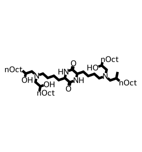 CCCCCCCCC(C)CN(CCCCC1NC(=O)C(CCCCN(CC(O)CCCCCCCC)CC(O)CCCCCCCC)NC1=O)CC(O)CCCCCCCC